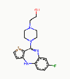 OCCN1CCN(C2=Nc3cc(F)ccc3Nc3ccsc32)CC1